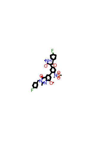 CNC(=O)c1c(-c2ccc(F)cc2)oc2cc(N(C)S(C)(=O)=O)c(-c3cc(OC)c4nc(C)n(Cc5ccc(F)cc5)c(=O)c4c3)cc12